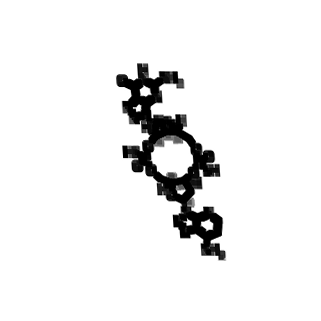 Nc1nc2c(nnn2[C@@H]2S[C@@H]3COP(=O)(S)O[C@H]4C[C@H](n5nnc6c(N)ccnc65)O[C@@H]4COP(=O)(S)O[C@@H]2[C@@H]3O)c(=O)[nH]1